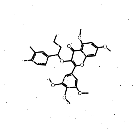 [CH2]CCC(Oc1c(-c2cc(OC)c(OC)c(OC)c2)oc2cc(OC)cc(OC)c2c1=O)c1ccc([CH2])c(C)c1